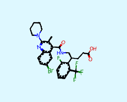 Cc1c(N2CCCCC2)nc2ccc(Br)cc2c1C(=O)NCC(CCC(=O)O)c1c(F)cccc1C(F)(F)F